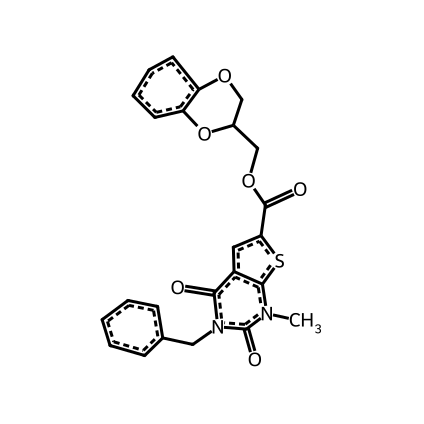 Cn1c(=O)n(Cc2ccccc2)c(=O)c2cc(C(=O)OCC3COc4ccccc4O3)sc21